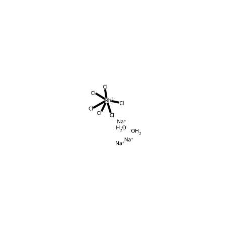 O.O.[Cl][Rh-3]([Cl])([Cl])([Cl])([Cl])[Cl].[Na+].[Na+].[Na+]